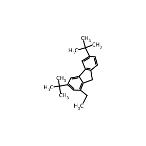 CCc1cc(C(C)(C)C)cc2c1Cc1ccc(C(C)(C)C)cc1-2